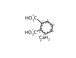 O=C(O)c1ccccc1C(=O)O.[CaH2]